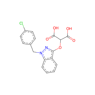 O=C(O)C(Oc1nn(Cc2ccc(Cl)cc2)c2ccccc12)C(=O)O